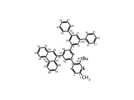 Cc1ccc(-c2cc(-c3cc(-c4ccccc4)cc(-c4ccccc4)c3)cc(-c3cc4ccccc4c4ccccc34)c2)c(C(C)(C)C)n1